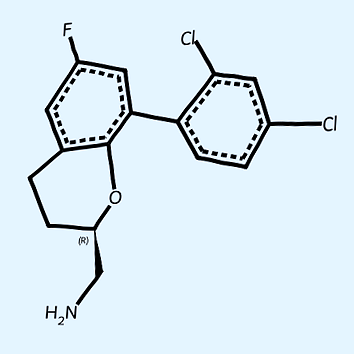 NC[C@H]1CCc2cc(F)cc(-c3ccc(Cl)cc3Cl)c2O1